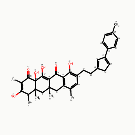 CC(=O)C1=C(O)C(C(C)C)[C@@]2(C)C[C@@]3(C)Cc4c(C(C)C)cc(CCC5=CC(c6ccc(C)cc6)=CC5)c(O)c4C(=O)C3=C(O)[C@@]2(O)C1=O